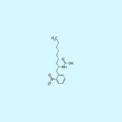 CCCCCCCC(Cc1ccccc1[N+](=O)[O-])NC(=O)O